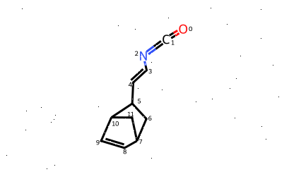 O=C=NC=CC1CC2C=CC1C2